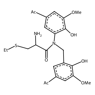 CCSCC(N)C(=O)N(Cc1cc(C(C)=O)cc(OC)c1O)c1cc(C(C)=O)cc(OC)c1O